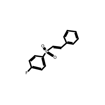 O=S(=O)(C=Cc1ccccc1)c1ccc(F)cc1